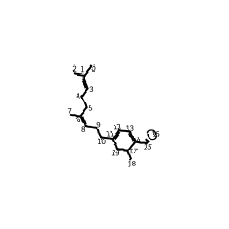 CC(C)=CCCC(C)=CCCC1=CC=C(C=O)C(C)C1